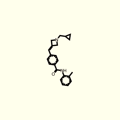 Cc1ccccc1NC(=O)c1ccc(C=C2CN(CC3CC3)C2)cc1